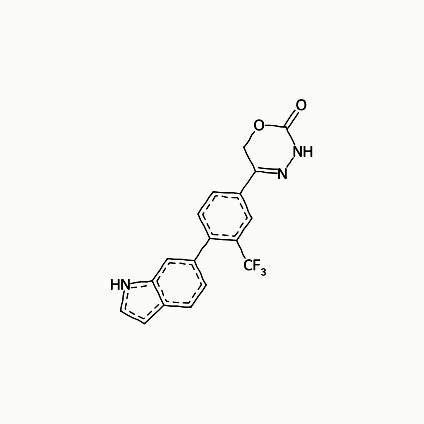 O=C1NN=C(c2ccc(-c3ccc4cc[nH]c4c3)c(C(F)(F)F)c2)CO1